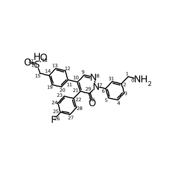 NCc1cccc(-n2ncc(-c3ccc(C[SH](=O)=O)cc3)c(-c3ccc(F)cc3)c2=O)c1